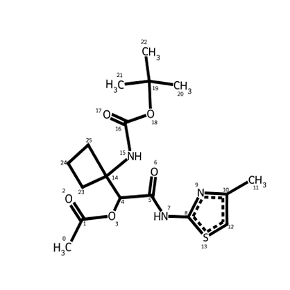 CC(=O)OC(C(=O)Nc1nc(C)cs1)C1(NC(=O)OC(C)(C)C)CCC1